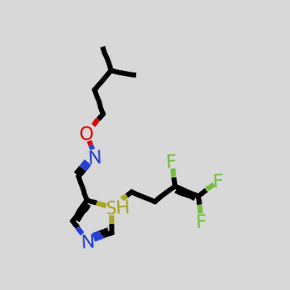 CC(C)CCO/N=C/C1=CN=C[SH]1CCC(F)=C(F)F